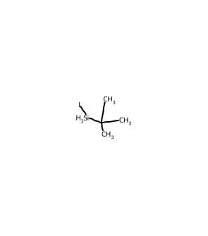 CC(C)(C)[SiH2]I